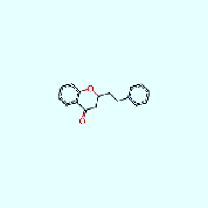 O=C1CC(CCc2ccccc2)Oc2ccccc21